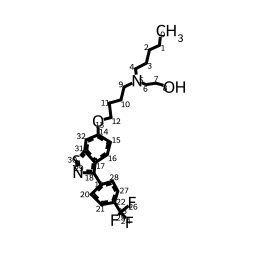 CCCCCN(CCO)CCCCOc1ccc2c(-c3ccc(C(F)(F)F)cc3)nsc2c1